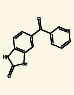 O=C(c1cccnc1)c1ccc2[nH]c(=O)[se]c2c1